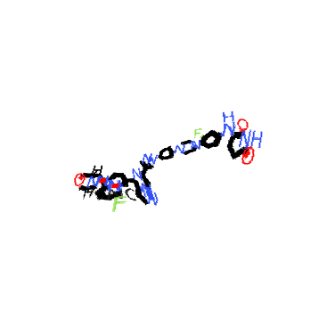 N#Cc1cnn2cc(-c3cnn([C@H]4CC[C@H](N5CCN(c6ccc(NC7CCC(=O)NC7=O)cc6F)CC5)CC4)c3)nc(-c3ccc(N4C[C@H]5COC[C@@H](C4)N5Cc4ccc(F)cn4)nc3)c12